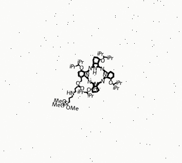 CO[Si](CCCNCCC(=O)OCc1ccc(OC(C(C)C)C(C)C)c2c1-c1nc-2nc2[nH]c(nc3nc(nc4[nH]c(n1)c1c(OC(C(C)C)C(C)C)cccc41)-c1c(OC(C(C)C)C(C)C)cccc1-3)c1c(OC(C(C)C)C(C)C)cccc21)(OC)OC